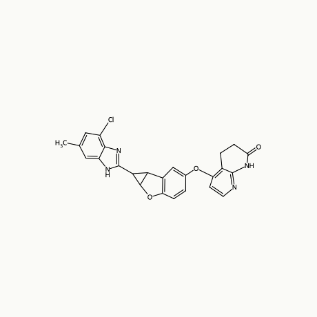 Cc1cc(Cl)c2nc(C3C4Oc5ccc(Oc6ccnc7c6CCC(=O)N7)cc5C43)[nH]c2c1